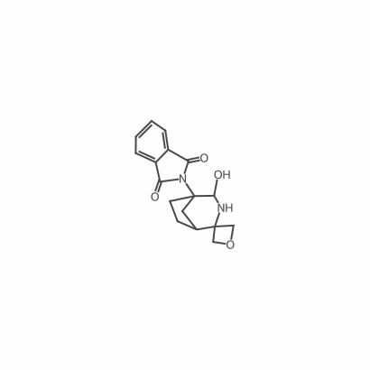 O=C1c2ccccc2C(=O)N1C12CCC(C1)C1(COC1)NC2O